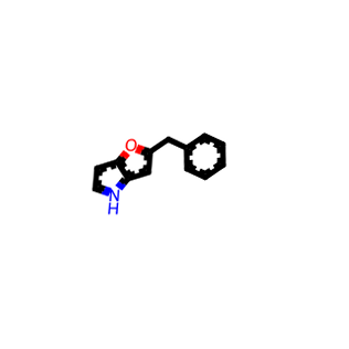 c1ccc(Cc2cc3[nH]ccc3o2)cc1